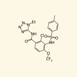 CCn1nnnc1NC(=O)c1ccc(OC(F)(F)F)c(NS(=O)(=O)c2ccc(C)cc2)c1Cl